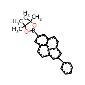 CC1(C)OB(c2cc3ccc4cc(-c5ccccc5)cc5ccc(c2)c3c45)OC1(C)C